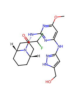 COc1cc(Nc2cc(CO)[nH]n2)nc(N[C@H]2C[C@H]3CCC[C@@H](C2)N3C(=O)C(F)F)n1